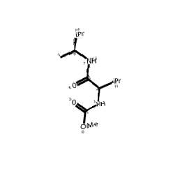 COC(=O)NC(C(=O)N[C@@H](C)C(C)C)C(C)C